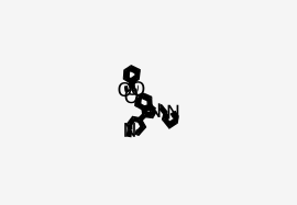 CN1CCC(c2cn(Cc3ccccn3)c3ccc(OS(=O)(=O)c4ccccc4)cc23)CC1